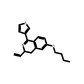 C=CC1Cc2cc(OCCCC)ccc2C(c2ccsc2)=N1